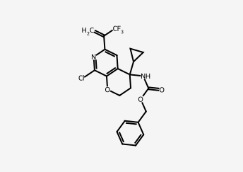 C=C(c1cc2c(c(Cl)n1)OCCC2(NC(=O)OCc1ccccc1)C1CC1)C(F)(F)F